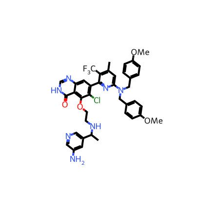 COc1ccc(CN(Cc2ccc(OC)cc2)c2cc(C)c(C(F)(F)F)c(-c3cc4nc[nH]c(=O)c4c(OCCNC(C)c4cncc(N)c4)c3Cl)n2)cc1